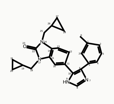 Cc1cccc(-c2nc[nH]c2-c2ccc3c(c2)n(CC2CC2)c(=O)n3CC2CC2)c1